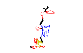 C=C(C)C(=O)OCCNC(=O)NCCS(=O)(=O)OC